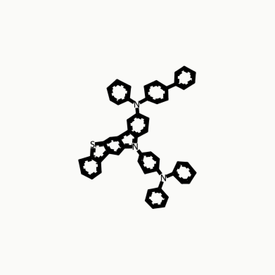 c1ccc(-c2ccc(N(c3ccccc3)c3ccc4c(c3)c3cc5sc6ccccc6c5cc3n4-c3ccc(N(c4ccccc4)c4ccccc4)cc3)cc2)cc1